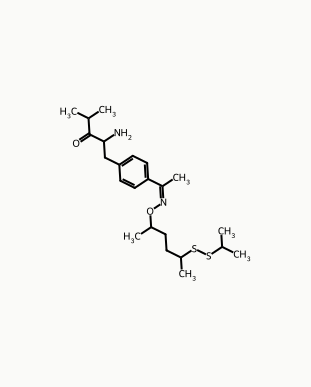 C/C(=N/OC(C)CCC(C)SSC(C)C)c1ccc(CC(N)C(=O)C(C)C)cc1